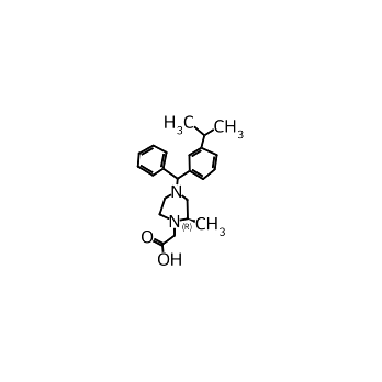 CC(C)c1cccc(C(c2ccccc2)N2CCN(CC(=O)O)[C@H](C)C2)c1